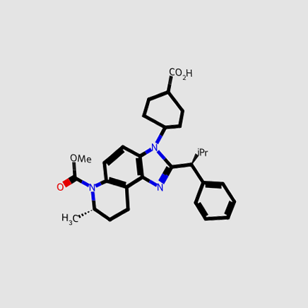 COC(=O)N1c2ccc3c(nc([C@H](c4ccccc4)C(C)C)n3C3CCC(C(=O)O)CC3)c2CC[C@@H]1C